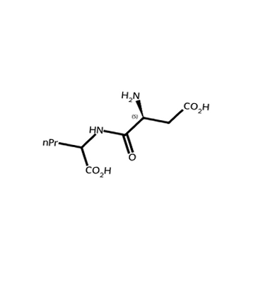 CCCC(NC(=O)[C@@H](N)CC(=O)O)C(=O)O